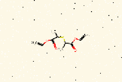 C=COC(=O)C(C)SC(C)C(=O)OC=C